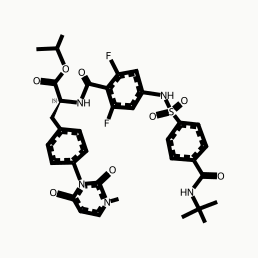 CC(C)OC(=O)[C@H](Cc1ccc(-n2c(=O)ccn(C)c2=O)cc1)NC(=O)c1c(F)cc(NS(=O)(=O)c2ccc(C(=O)NC(C)(C)C)cc2)cc1F